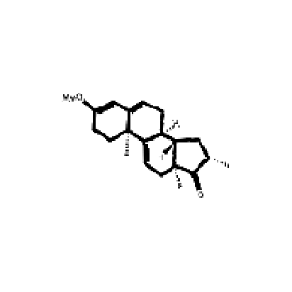 COC1=CC2=CC[C@@H]3C(=CC[C@]4(C)C(=O)[C@@H](C)C[C@@H]34)[C@@]2(C)CC1